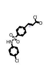 O=C(Cl)/C=C/c1ccc(S(=O)(=O)Nc2ccc(Cl)cc2)cc1